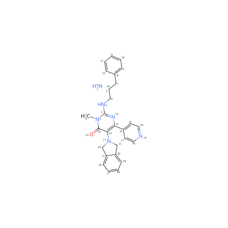 Cn1c(NC[C@H](N)Cc2ccccc2)nc(-c2ccncc2)c(N2Cc3ccccc3C2)c1=O